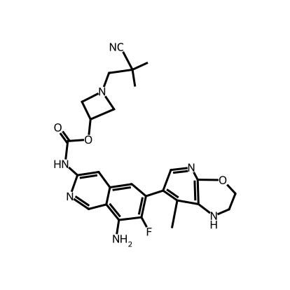 Cc1c(-c2cc3cc(NC(=O)OC4CN(CC(C)(C)C#N)C4)ncc3c(N)c2F)cnc2c1NCCO2